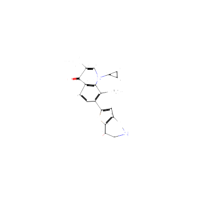 COc1c(-c2cc3c(s2)C(O)CNC3)ccc2c(=O)c(C(=O)O)cn(C3CC3)c12